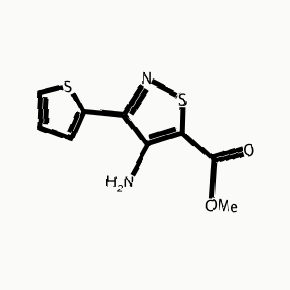 COC(=O)c1snc(-c2cccs2)c1N